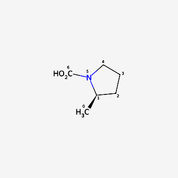 C[C@@H]1CCCN1C(=O)O